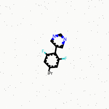 CC(C)c1cc(F)c(-c2cncnc2)c(F)c1